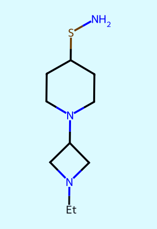 CCN1CC(N2CCC(SN)CC2)C1